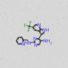 Nc1cnc(NCc2ccccn2)nc1-c1c[nH]c2ncc(C(F)(F)F)cc12